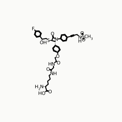 CS(=O)(=O)NCC#Cc1ccc(N2C(=O)[C@H](SC[C@H](O)c3ccc(F)cc3)[C@H]2c2ccc(OCC(=O)NCC(=O)NCCCC[C@@H](N)C(=O)O)cc2)cc1